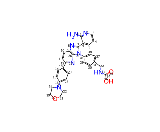 Nc1ncccc1-c1nc2ccc(-c3ccc(N4CCOCC4)cc3)nc2n1-c1ccc(CNC(=O)O)cc1